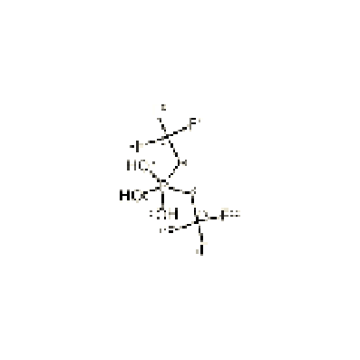 OP(O)(O)(CC(F)(F)F)CC(F)(F)F